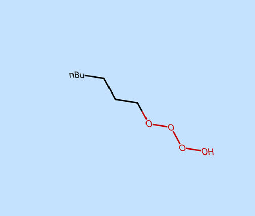 CCCCCCCOOOO